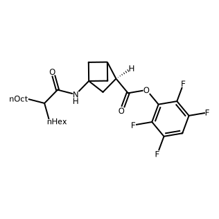 CCCCCCCCC(CCCCCC)C(=O)NC12CC(C1)[C@@H](C(=O)Oc1c(F)c(F)cc(F)c1F)C2